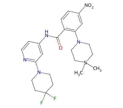 C[Si]1(C)CCN(c2cc([N+](=O)[O-])ccc2C(=O)Nc2ccnc(N3CCC(F)(F)CC3)c2)CC1